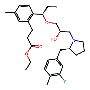 CCOC(=O)CCc1cc(C)ccc1[C@@H](CC)OC[C@H](O)CN1CCC[C@H]1Cc1ccc(C)c(F)c1